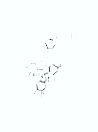 O=C(O)c1ccc(CCOCC(C2CCCCC2)C2(c3ccc(Cl)cc3)Nc3cc(F)c(F)cc3N2)cc1